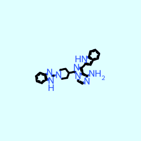 Nc1nccn2c(C3CCN(c4nc5ccccc5[nH]4)CC3)nc(-c3cc4ccccc4[nH]3)c12